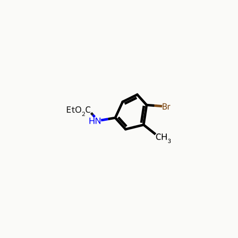 CCOC(=O)Nc1ccc(Br)c(C)c1